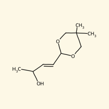 CC(O)C=CC1OCC(C)(C)CO1